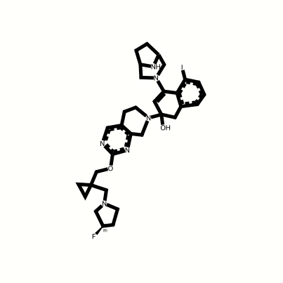 OC1(N2CCc3cnc(OCC4(CN5CC[C@@H](F)C5)CC4)nc3C2)C=C(N2CC3CCC(C2)N3)c2c(I)cccc2C1